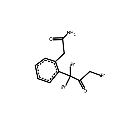 CC(C)CC(=O)C(c1ccccc1CC(N)=O)(C(C)C)C(C)C